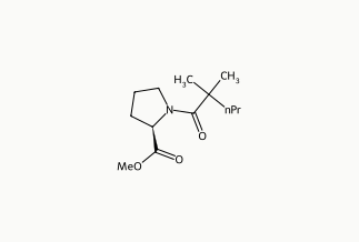 CCCC(C)(C)C(=O)N1CCC[C@@H]1C(=O)OC